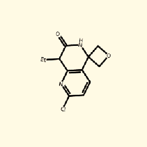 CCC1C(=O)NC2(COC2)c2ccc(Cl)nc21